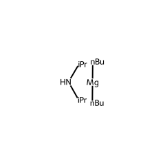 CC(C)NC(C)C.CCC[CH2][Mg][CH2]CCC